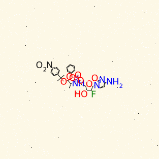 C[C@H](NP(=O)(OCC1OC(n2ccc(N)nc2=O)C(F)C1O)Oc1ccccc1)C(=O)OC(C)(C)c1ccc([N+](=O)[O-])cc1